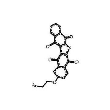 CC(=O)CCOc1ccc2c(=O)c3sc4c(=O)c5ccccc5c(=O)c4c3c(=O)c2c1